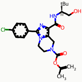 C=C(C)OC(=O)N1CCn2c(-c3ccc(Cl)cc3)nc(C(=O)N[C@H](CO)C(C)(C)C)c2C1